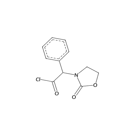 O=C(Cl)C(c1ccccc1)N1CCOC1=O